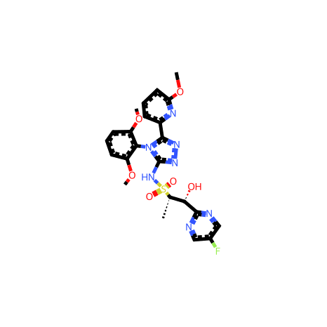 COc1cccc(-c2nnc(NS(=O)(=O)[C@@H](C)[C@H](O)c3ncc(F)cn3)n2-c2c(OC)cccc2OC)n1